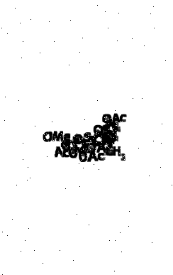 COC(=O)[C@H]1OC(SC2C=CC3C4Cc5ccc(OC(C)=O)c6c5C3(CCN4C)C2O6)[C@H](OC(C)=O)[C@@H](OC(C)=O)[C@@H]1OC(C)=O